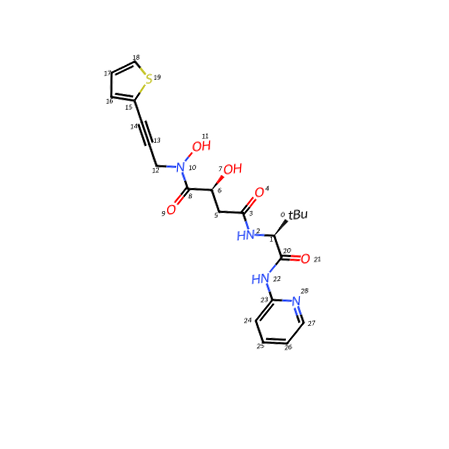 CC(C)(C)[C@H](NC(=O)C[C@H](O)C(=O)N(O)CC#Cc1cccs1)C(=O)Nc1ccccn1